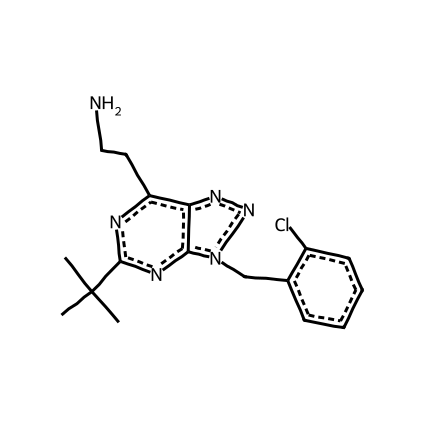 CC(C)(C)c1nc(CCN)c2nnn(Cc3ccccc3Cl)c2n1